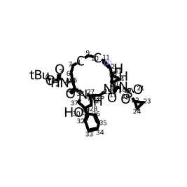 CC(C)(C)OC(=O)N[C@H]1CCCCC/C=C\[C@@H]2C[C@@]2(C(=O)NS(=O)(=O)C2CC2)NC[C@@H]2C[C@@](O)(c3ccccc3)CN2C1=O